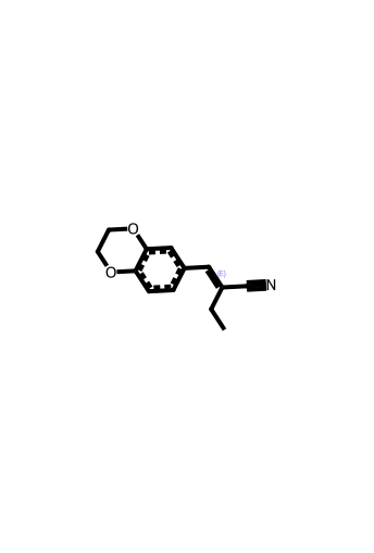 CC/C(C#N)=C\c1ccc2c(c1)OCCO2